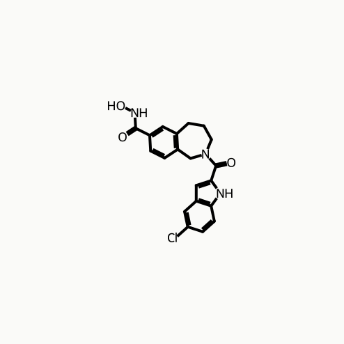 O=C(NO)c1ccc2c(c1)CCCN(C(=O)c1cc3cc(Cl)ccc3[nH]1)C2